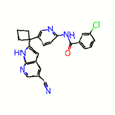 N#Cc1cnc2[nH]c(C3(c4ccc(NC(=O)c5cccc(Cl)c5)nc4)CCC3)cc2c1